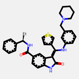 CC[C@@H](NC(=O)c1ccc2c(c1)/C(=C(/Nc1cccc(CN3CCCCC3)c1)c1ccsc1)C(=O)N2)c1ccccc1